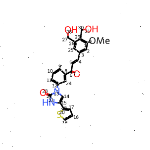 COc1cc(/C=C/C(=O)c2cccc(-n3cc(-c4cccs4)[nH]c3=O)c2)cc(CO)c1CO